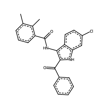 Cc1cccc(C(=O)Nc2c(C(=O)c3ccccc3)[nH]c3cc(Cl)ccc23)c1C